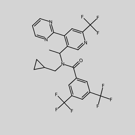 CC(c1cnc(C(F)(F)F)cc1-c1ncccn1)N(CC1CC1)C(=O)c1cc(C(F)(F)F)cc(C(F)(F)F)c1